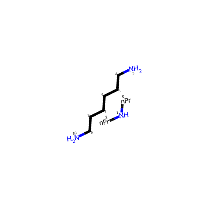 CCCNCCC.NCCCCCCN